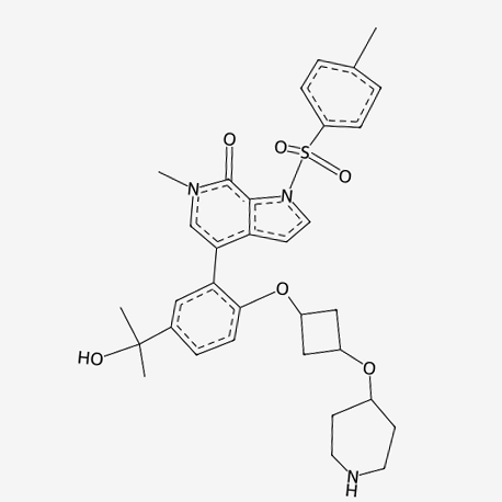 Cc1ccc(S(=O)(=O)n2ccc3c(-c4cc(C(C)(C)O)ccc4OC4CC(OC5CCNCC5)C4)cn(C)c(=O)c32)cc1